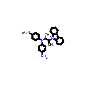 CNc1ccc(N(c2ccc(N)cc2)[C@H](C)C(C)n2c3ccccc3c3ccccc32)cc1